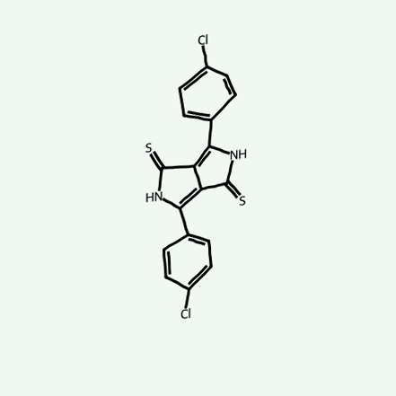 S=C1NC(c2ccc(Cl)cc2)=C2C(=S)NC(c3ccc(Cl)cc3)=C12